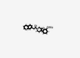 CCC(Cc1ccc2cccnc2c1)N1CCc2c(oc3c(OC)cccc23)C1